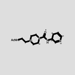 CC(=O)NCCN1CCN(C(=O)NC2C=NC=CC2)CC1